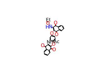 CCOCNC1=C(Oc2ccc(OC3=C(NC(C)=O)C(=O)c4ccccc4C3=O)cc2)C(=O)c2ccccc2C1=O